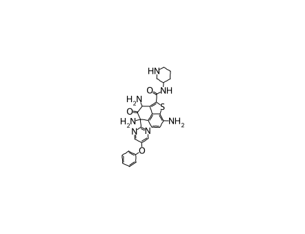 Nc1ccc2c3c(c(C(=O)NC4CCCNC4)sc13)C(N)C(=O)C2(N)c1ncc(Oc2ccccc2)cn1